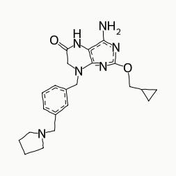 Nc1nc(OCC2CC2)nc2c1NC(=O)CN2Cc1cccc(CN2CCCC2)c1